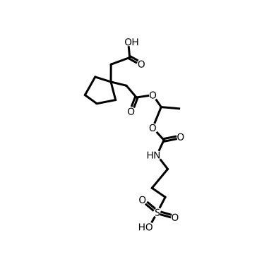 CC(OC(=O)CC1(CC(=O)O)CCCC1)OC(=O)NCCCS(=O)(=O)O